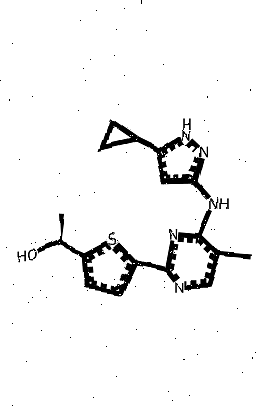 Cc1cnc(-c2ccc([C@H](C)O)s2)nc1Nc1cc(C2CC2)[nH]n1